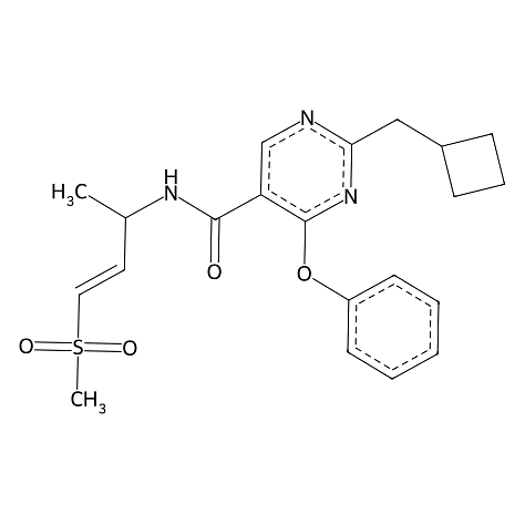 CC(/C=C/S(C)(=O)=O)NC(=O)c1cnc(CC2CCC2)nc1Oc1ccccc1